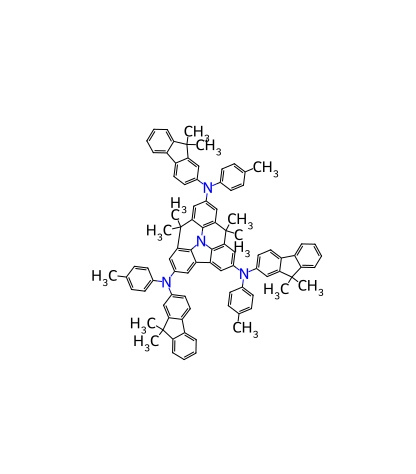 Cc1ccc(N(c2ccc3c(c2)C(C)(C)c2ccccc2-3)c2cc3c4c(c2)C(C)(C)c2cc(N(c5ccc(C)cc5)c5ccc6c(c5)C(C)(C)c5ccccc5-6)cc5c6cc(N(c7ccc(C)cc7)c7ccc8c(c7)C(C)(C)c7ccccc7-8)cc(c6n-4c25)C3(C)C)cc1